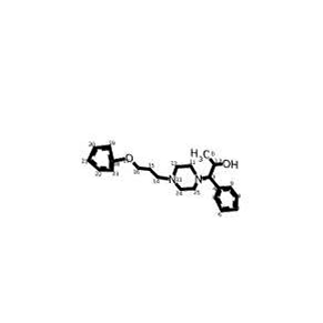 CC(O)C(c1ccccc1)N1CCN(CCCOc2ccccc2)CC1